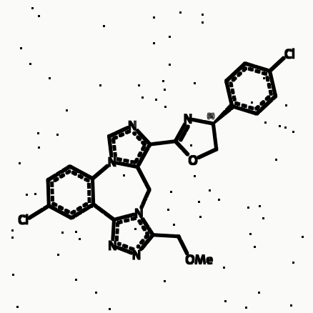 COCc1nnc2n1Cc1c(C3=N[C@@H](c4ccc(Cl)cc4)CO3)ncn1-c1ccc(Cl)cc1-2